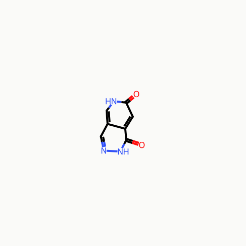 O=c1cc2c(=O)[nH]ncc2c[nH]1